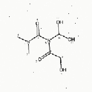 CN(C)C(=O)N(C(=O)CO)C(O)O